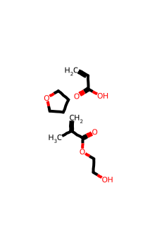 C1CCOC1.C=C(C)C(=O)OCCO.C=CC(=O)O